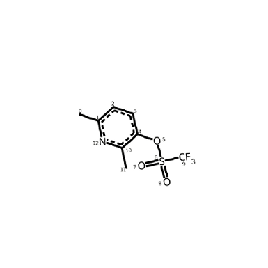 Cc1ccc(OS(=O)(=O)C(F)(F)F)c(C)n1